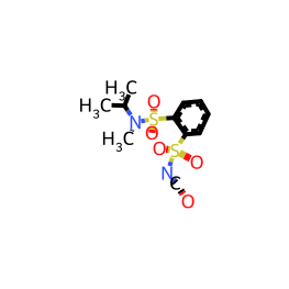 CC(C)N(C)S(=O)(=O)c1ccccc1S(=O)(=O)N=C=O